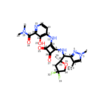 CCc1cn(C)nc1C(Nc1c(Nc2ccnc(C(=O)N(C)C)c2O)c(=O)c1=O)[C@]1(C)CC(F)(F)CO1